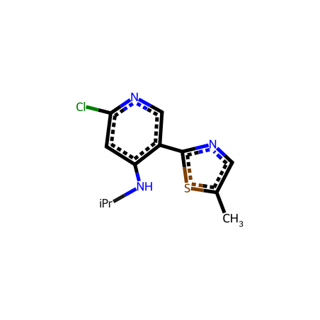 Cc1cnc(-c2cnc(Cl)cc2NC(C)C)s1